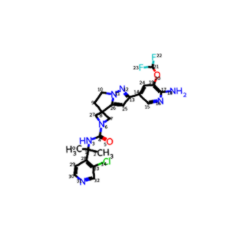 CC(C)(NC(=O)N1CC2(CCn3nc(-c4cnc(N)c(OC(F)F)c4)cc32)C1)c1ccncc1Cl